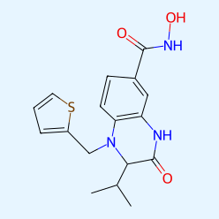 CC(C)C1C(=O)Nc2cc(C(=O)NO)ccc2N1Cc1cccs1